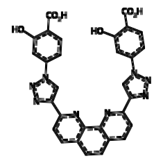 O=C(O)c1ccc(-n2cc(-c3ccc4ccc5ccc(-c6cn(-c7ccc(C(=O)O)c(O)c7)nn6)nc5c4n3)nn2)cc1O